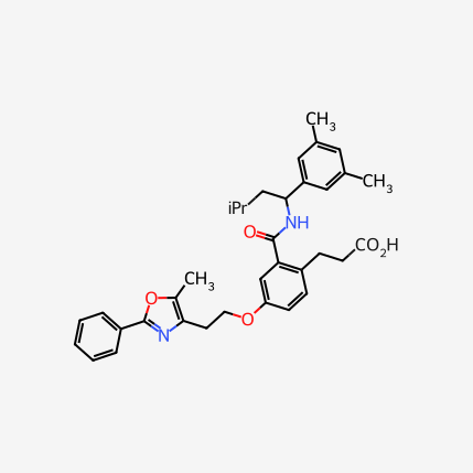 Cc1cc(C)cc(C(CC(C)C)NC(=O)c2cc(OCCc3nc(-c4ccccc4)oc3C)ccc2CCC(=O)O)c1